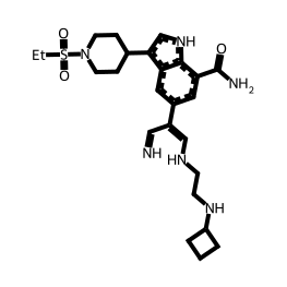 CCS(=O)(=O)N1CCC(c2c[nH]c3c(C(N)=O)cc(/C(C=N)=C/NCCNC4CCC4)cc23)CC1